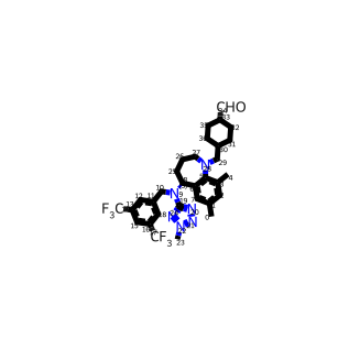 Cc1cc(C)c2c(c1)[C@@H](N(Cc1cc(C(F)(F)F)cc(C(F)(F)F)c1)c1nnn(C)n1)CCCN2CC1CCC(C=O)CC1